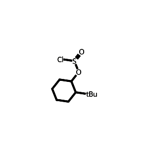 CC(C)(C)C1CCCCC1OS(=O)Cl